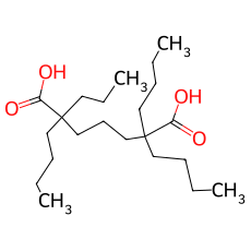 CCCCC(CCC)(CCCC(CCCC)(CCCC)C(=O)O)C(=O)O